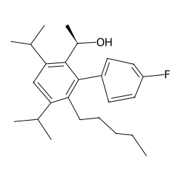 CCCCCc1c(C(C)C)cc(C(C)C)c([C@@H](C)O)c1-c1ccc(F)cc1